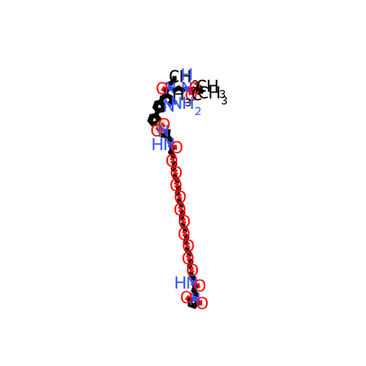 CCCN(CCCNC(=O)OC(C)(C)C)C(=O)C1=Cc2ccc(-c3cccc(S(=O)(=O)N4CC(CNC(=O)CCOCCOCCOCCOCCOCCOCCOCCOCCOCCOCCNC(=O)CCN5C(=O)C=CC5=O)C4)c3)cc2N=C(N)C1